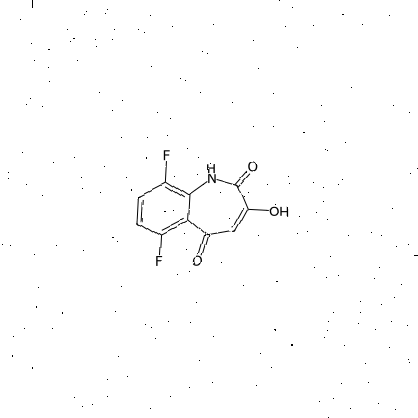 O=c1[nH]c2c(F)ccc(F)c2c(=O)cc1O